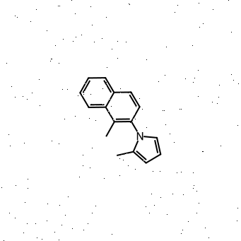 Cc1c(-n2cccc2C)ccc2ccccc12